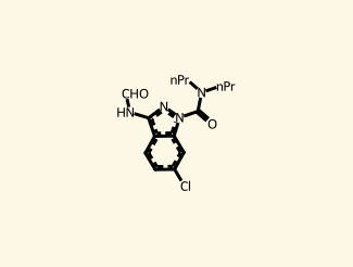 CCCN(CCC)C(=O)n1nc(NC=O)c2ccc(Cl)cc21